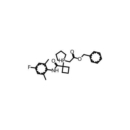 Cc1cc(F)cc(C)c1NC(=O)C1([PH]2(CC(=O)OCc3ccccc3)CCCC2)CCC1